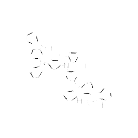 Cc1cccc(C)c1N(c1ccc(N(c2ccccc2)c2ccc3c(c2)C(C)(C)c2ccccc2-3)cc1)c1ccc(N(c2ccccc2)c2ccc3c(c2)C(C)(C)c2ccccc2-3)cc1